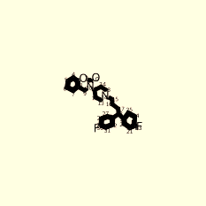 O=C1Oc2ccccc2CN1C1CCN(CCCC(c2ccc(F)cc2)c2ccc(F)cc2)CC1